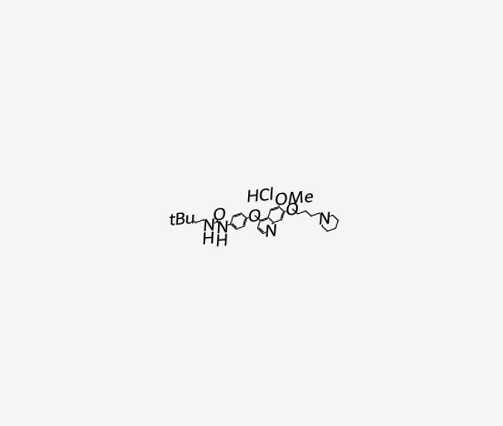 COc1cc2c(Oc3ccc(NC(=O)NCCC(C)(C)C)cc3)ccnc2cc1OCCCCN1CCCCC1.Cl